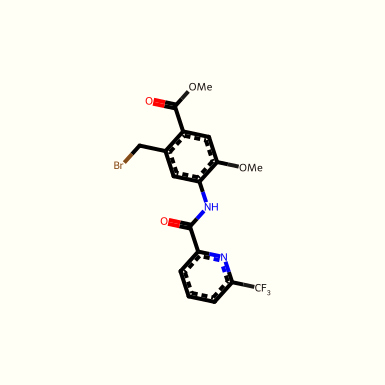 COC(=O)c1cc(OC)c(NC(=O)c2cccc(C(F)(F)F)n2)cc1CBr